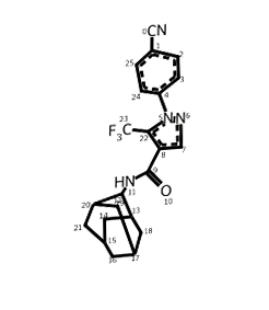 N#Cc1ccc(-n2ncc(C(=O)NC3C4CC5CC(C4)CC3C5)c2C(F)(F)F)cc1